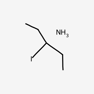 CCC(I)CC.N